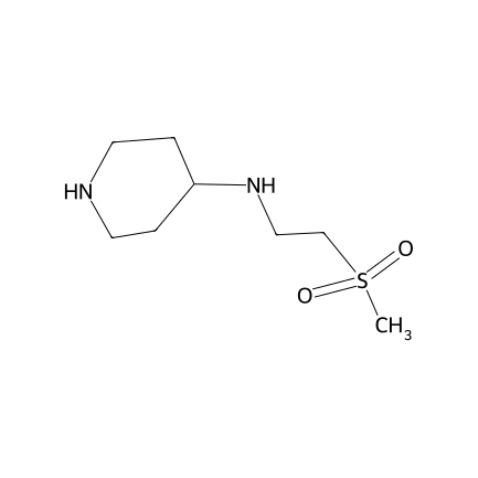 CS(=O)(=O)CCNC1CCNCC1